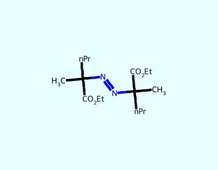 CCCC(C)(/N=N/C(C)(CCC)C(=O)OCC)C(=O)OCC